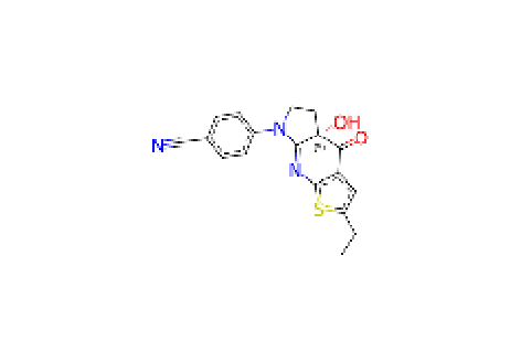 CCc1cc2c(s1)N=C1N(c3ccc(C#N)cc3)CC[C@@]1(O)C2=O